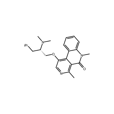 Cc1ncc(OC[C@H](CC(C)C)N(C)C)c2c1c(=O)n(C)c1ccccc21